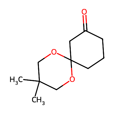 CC1(C)COC2(CCCC(=O)C2)OC1